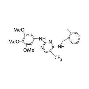 COc1cc(Nc2ncc(C(F)(F)F)c(NCc3ccccc3C)n2)cc(OC)c1OC